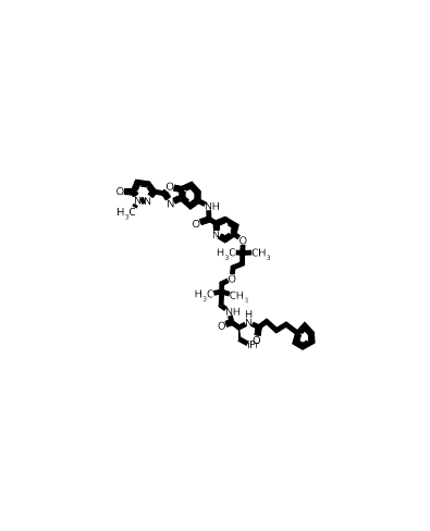 CC(C)C[C@H](NC(=O)CCCc1ccccc1)C(=O)NCC(C)(C)COCCC(C)(C)Oc1ccc(C(=O)Nc2ccc3oc(-c4ccc(=O)n(C)n4)nc3c2)nc1